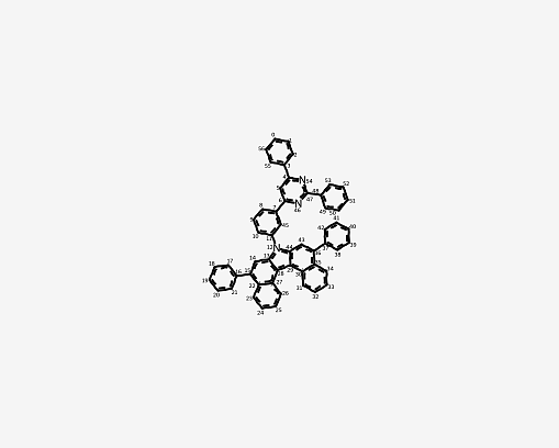 c1ccc(-c2cc(-c3cccc(-n4c5cc(-c6ccccc6)c6ccccc6c5c5c6ccccc6c(-c6ccccc6)cc54)c3)nc(-c3ccccc3)n2)cc1